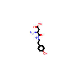 NC(CC(=O)O)C(=O)NCCc1ccc(O)cc1